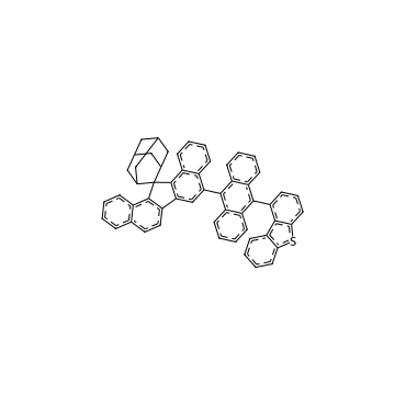 c1ccc2c3c(ccc2c1)-c1cc(-c2c4ccccc4c(-c4cccc5sc6ccccc6c45)c4ccccc24)c2ccccc2c1C31C2CC3CC(C2)CC1C3